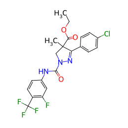 CCOC(=O)C1(C)CN(C(=O)Nc2ccc(C(F)(F)F)c(F)c2)N=C1c1ccc(Cl)cc1